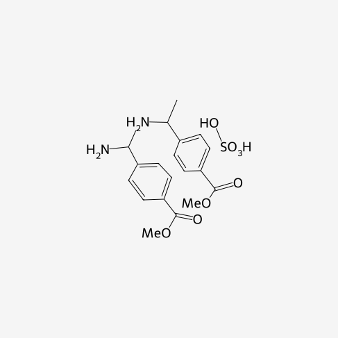 COC(=O)c1ccc(C(C)N)cc1.COC(=O)c1ccc(C(C)N)cc1.O=S(=O)(O)O